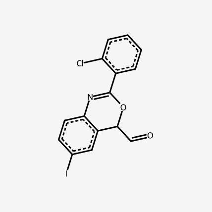 O=CC1OC(c2ccccc2Cl)=Nc2ccc(I)cc21